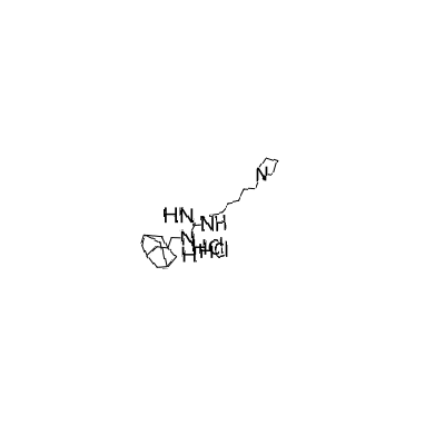 Cl.Cl.N=C(NCCCCCCN1CCCC1)NCC12CC3CC(CC(C3)C1)C2